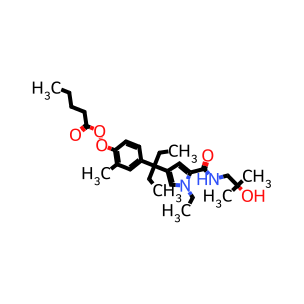 CCCCC(=O)OOc1ccc(C(CC)(CC)c2cc(C(=O)NCC(C)(C)O)n(CC)c2)cc1C